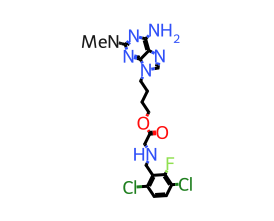 CNc1nc(N)c2ncn(CCCCOC(=O)CNCc3c(Cl)ccc(Cl)c3F)c2n1